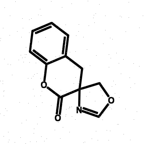 O=C1Oc2ccccc2CC12COC=N2